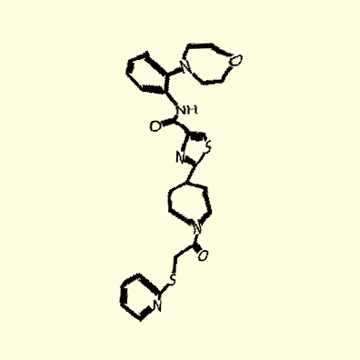 O=C(Nc1ccccc1N1CCOCC1)c1csc(C2CCN(C(=O)CSc3ccccn3)CC2)n1